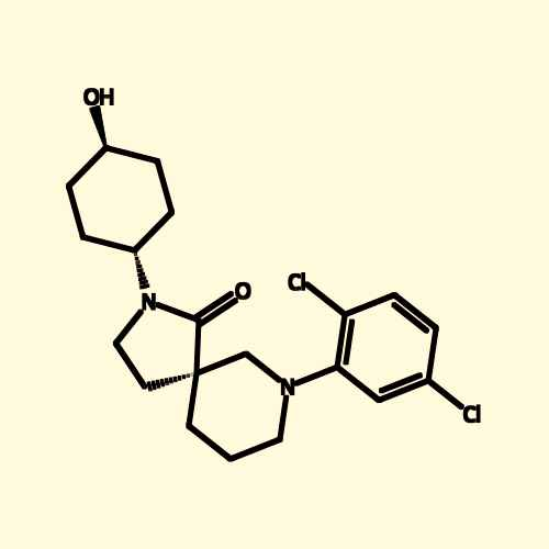 O=C1N([C@H]2CC[C@H](O)CC2)CC[C@]12CCCN(c1cc(Cl)ccc1Cl)C2